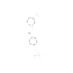 CC1(C)OB(c2ccc(C(=O)Nc3cc(C(F)F)ccn3)cc2F)OC1(C)C